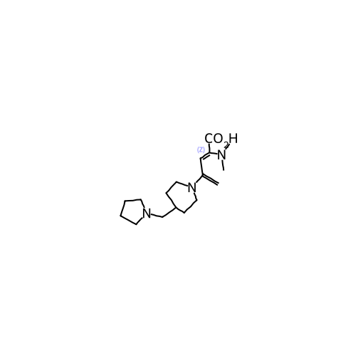 C=C(/C=C(/C(=O)O)N(C)C)N1CCC(CN2CCCC2)CC1